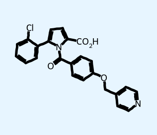 O=C(O)c1ccc(-c2ccccc2Cl)n1C(=O)c1ccc(OCc2ccncc2)cc1